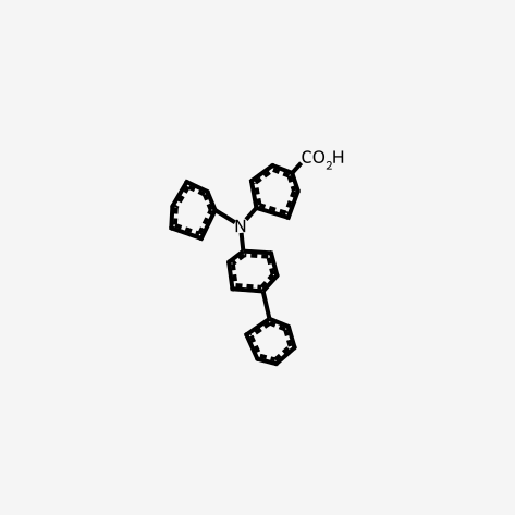 O=C(O)c1ccc(N(c2ccccc2)c2ccc(-c3ccccc3)cc2)cc1